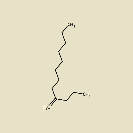 C=C(CCC)CCCCCCCC